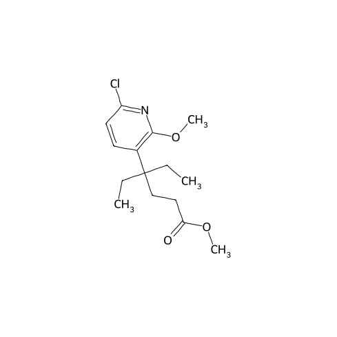 CCC(CC)(CCC(=O)OC)c1ccc(Cl)nc1OC